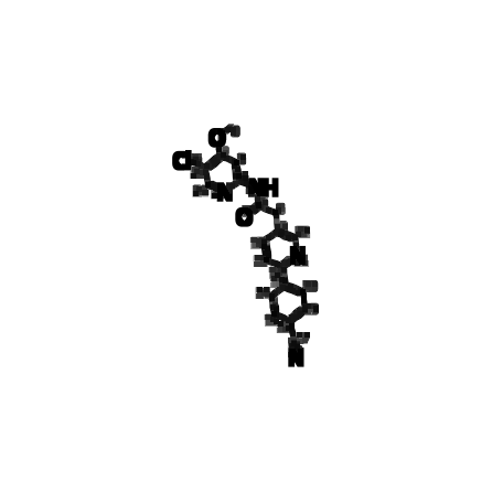 COc1cc(NC(=O)Cc2ccc(-c3ccc(C#N)cc3)nc2)ncc1Cl